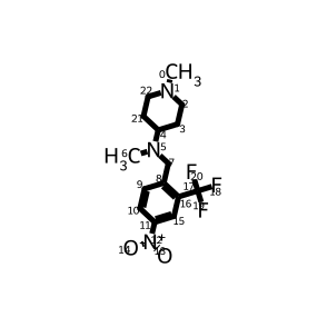 CN1CCC(N(C)Cc2ccc([N+](=O)[O-])cc2C(F)(F)F)CC1